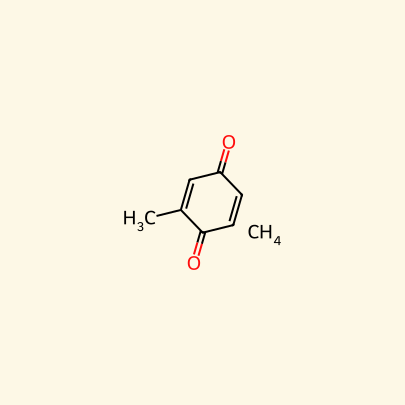 C.CC1=CC(=O)C=CC1=O